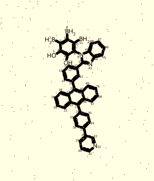 Bc1c(B)c(O)c(O)c(-n2c(-c3cccc(-c4c5ccccc5c(-c5ccc(-c6cccnc6)cc5)c5ccccc45)c3)nc3ccccc32)c1B